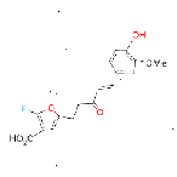 COc1cc(C=CC(=O)CCc2cc(C(=O)O)c(F)o2)ccc1O